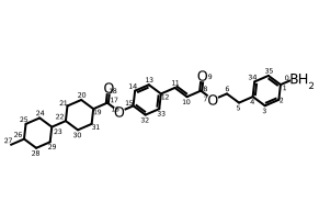 Bc1ccc(CCOC(=O)/C=C/c2ccc(OC(=O)C3CCC(C4CCC(C)CC4)CC3)cc2)cc1